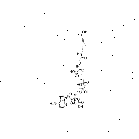 CC(C)(COP(=O)(O)OP(=O)(O)OC[C@H]1O[C@@H](n2cnc3c(N)ncnc32)[C@H](O)[C@@H]1OP(=O)(O)O)[C@@H](O)C(=O)NCCC(=O)NCCSC#CCO